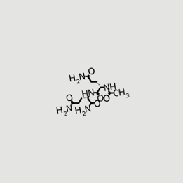 CC(=O)N[C@@H](CCC(N)=O)C(=O)N[C@@H](CCC(N)=O)C(N)=O